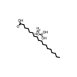 CCCCCCCCCCCCCCCCCC(=O)O.OB(O)O.[AlH3]